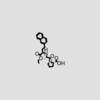 CCOC(=O)C(CCc1ccc2ccccc2c1)N[C@@H](C)C(=O)N1CCC[C@H]1C(=O)O